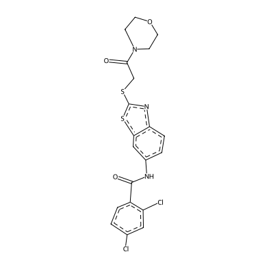 O=C(Nc1ccc2nc(SCC(=O)N3CCOCC3)sc2c1)c1ccc(Cl)cc1Cl